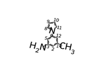 Cc1cc(N)cc(-n2cccc2)c1